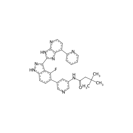 CC(C)(C)CC(=O)Nc1cncc(-c2ccc3[nH]nc(-c4nc5c(-c6ccccn6)ccnc5[nH]4)c3c2F)c1